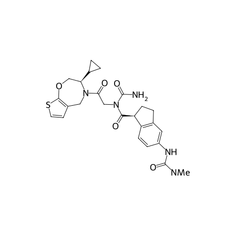 CNC(=O)Nc1ccc2c(c1)CC[C@@H]2C(=O)N(CC(=O)N1Cc2ccsc2OC[C@H]1C1CC1)C(N)=O